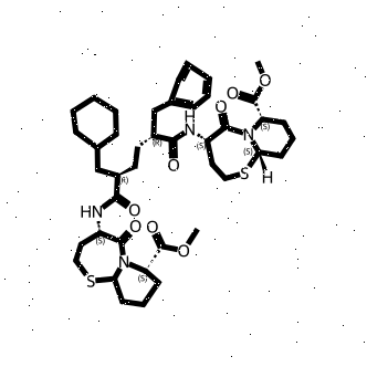 COC(=O)[C@@H]1CCCC2SCC[C@H](NC(=O)[C@H](CC[C@H](Cc3ccccc3)C(=O)N[C@H]3CCS[C@H]4CCC[C@@H](C(=O)OC)N4C3=O)CC3CCCCC3)C(=O)N21